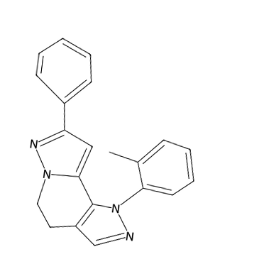 Cc1ccccc1-n1ncc2c1-c1cc(-c3ccccc3)nn1CC2